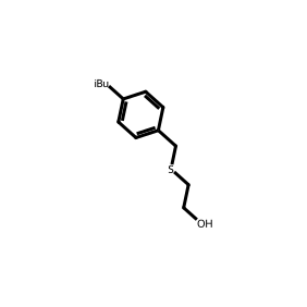 CCC(C)c1ccc(CSCCO)cc1